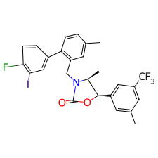 Cc1cc([C@H]2OC(=O)N(Cc3cc(C)ccc3-c3ccc(F)c(I)c3)[C@H]2C)cc(C(F)(F)F)c1